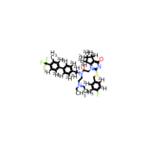 [2H]c1c([2H])c(CSc2nc(=O)c3c(n2CC(=O)N(CCN(CC)CC)C([2H])([2H])c2c([2H])c([2H])c(-c4c([2H])c([2H])c(C(F)(F)F)c(C)c4[2H])c([2H])c2[2H])C([2H])([2H])C([2H])([2H])C3([2H])[2H])c([2H])c([2H])c1F